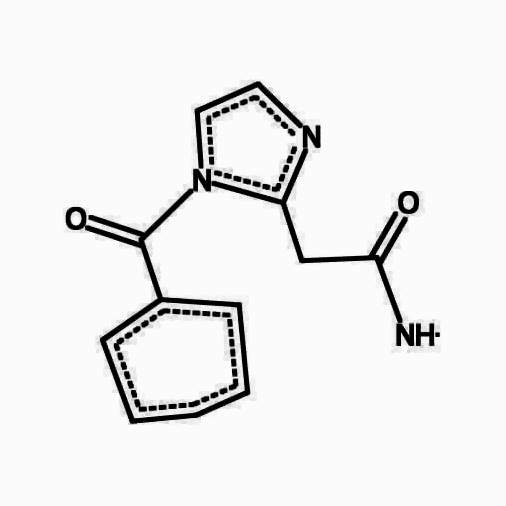 [NH]C(=O)Cc1nccn1C(=O)c1ccccc1